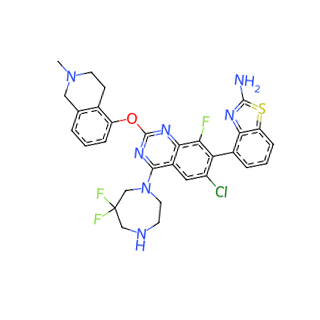 CN1CCc2c(cccc2Oc2nc(N3CCNCC(F)(F)C3)c3cc(Cl)c(-c4cccc5sc(N)nc45)c(F)c3n2)C1